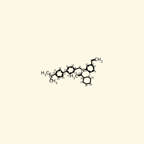 C=Cc1cccc(N(Cc2ccc(-c3ccc(N(C)C)cc3)cc2)C(=C)C2CCCCC2)c1